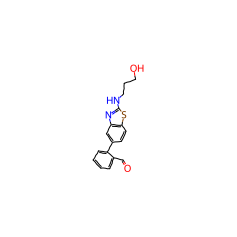 O=Cc1ccccc1-c1ccc2sc(NCCCO)nc2c1